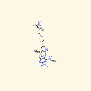 CCCCNc1nc(N)nc2cnn(Cc3ncc(C4CCN(C(=O)CN5C[C@@H]6C[C@H]5CN6)CC4)cc3OC)c12